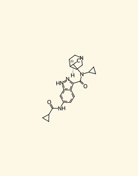 O=C(Nc1ccc2c(C(=O)N(C3CC3)[C@@H]3CN4CCC3CC4)n[nH]c2c1)C1CC1